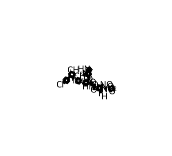 C[C@@H]1CCC(CN2CCN(c3ccc(C(=O)NS(=O)(=O)c4cc(F)c(NC[C@H]5COCCO5)c([N+](=O)[O-])c4)c(Oc4cnc5[nH]ccc5c4)c3)C[C@H]2C)=C(c2ccc(Cl)cc2)C1